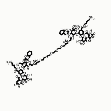 CC1O[C@@H](OC2C(NC(=O)c3cc(=O)[nH]c(=O)[nH]3)CC(C(=O)NCCCCN)C[C@H]2O[C@@H]2OC(CO)(CO)CC(O[C@@H](CC3CCCCC3)C(=O)O)C2NC(=O)Cn2cc(COCCOCCOCCOCCOCc3cn(CC(=O)NC4C(O[C@@H](CC5CCCCC5)C(=O)O)[C@@H](O)C(CO)O[C@H]4O[C@@H]4CC(C(=O)NCCCCN)CC(NC(=O)c5cc(=O)[nH]c(=O)[nH]5)C4O[C@@H]4OC(C)[C@@H](O)C(O)C4O)nn3)nn2)C(O)C(O)[C@@H]1O